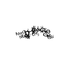 COc1cc(-c2cnn(C3CN([C@H]4CCN(C(=O)OC(C)(C)C)C4)C3)c2C)cn2ncc(C#N)c12